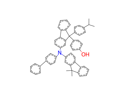 CC(C)c1ccc(C2(c3ccc(O)cc3)c3ccccc3-c3ccc(N(c4ccc(-c5ccccc5)cc4)c4ccc5c(c4)C(C)(C)c4ccccc4-5)cc32)cc1